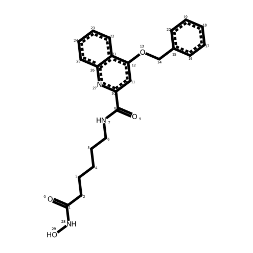 O=C(CCCCCNC(=O)c1cc(OCc2ccccc2)c2ccccc2n1)NO